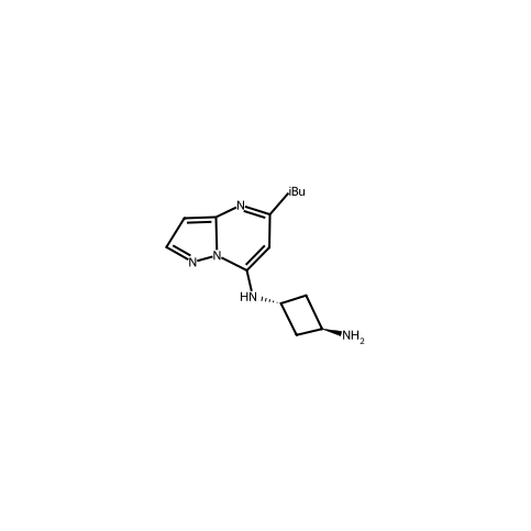 CCC(C)c1cc(N[C@H]2C[C@H](N)C2)n2nccc2n1